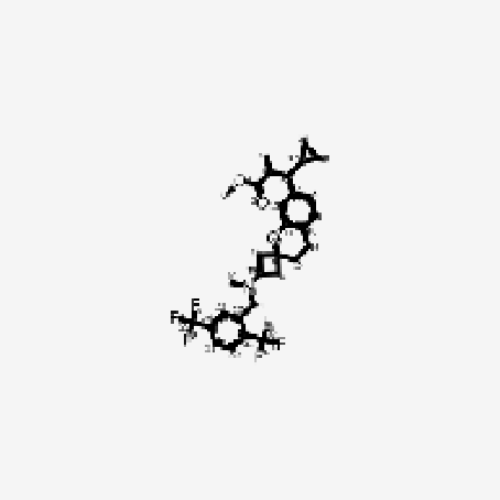 COC(=O)C(C)C(c1ccc2c(c1)OC1(CC2)CC(N(C)Cc2cc(C(F)(F)F)ccc2C(F)(F)F)C1)C1CC1